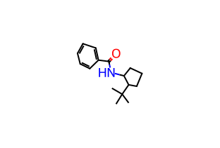 CC(C)(C)C1CCCC1NC(=O)c1ccccc1